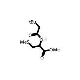 COC(=O)C(CSC)NC(=O)CC(C)(C)C